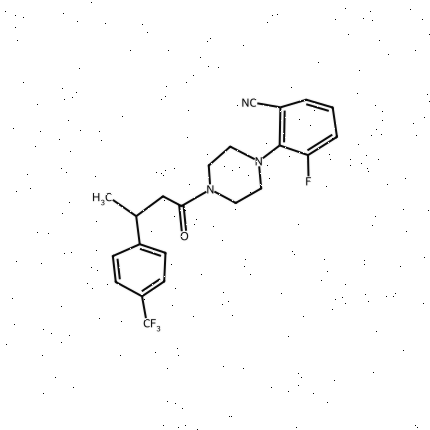 CC(CC(=O)N1CCN(c2c(F)cccc2C#N)CC1)c1ccc(C(F)(F)F)cc1